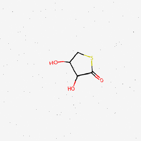 O=C1SCC(O)C1O